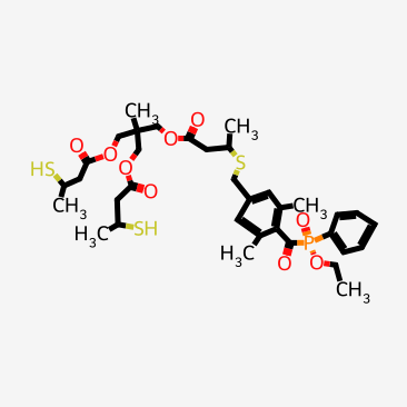 CCOP(=O)(C(=O)c1c(C)cc(CSC(C)CC(=O)OCC(C)(COC(=O)CC(C)S)COC(=O)CC(C)S)cc1C)c1ccccc1